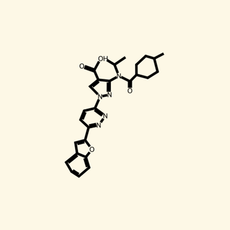 CC1CCC(C(=O)N(c2nn(-c3ccc(-c4cc5ccccc5o4)nn3)cc2C(=O)O)C(C)C)CC1